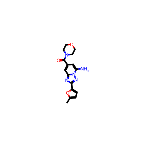 Cc1ccc(-c2nc3cc(C(=O)N4CCOCC4)cc(N)n3n2)o1